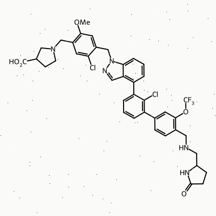 COc1cc(Cn2ncc3c(-c4cccc(-c5ccc(CNCC6CCC(=O)N6)c(OC(F)(F)F)c5)c4Cl)cccc32)c(Cl)cc1CN1CCC(C(=O)O)C1